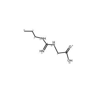 CCCNC(=N)NCC(=O)O